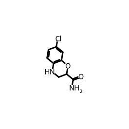 NC(=O)C1CNc2ccc(Cl)cc2O1